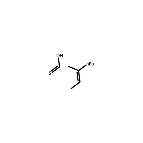 CC=C(C)CCCC.OC=S